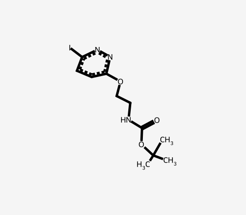 CC(C)(C)OC(=O)NCCOc1ccc(I)nn1